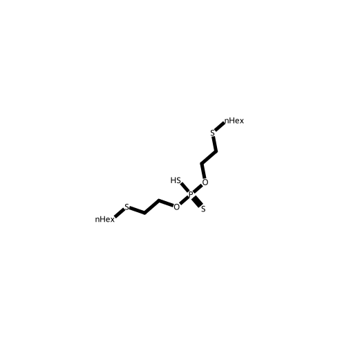 CCCCCCSCCOP(=S)(S)OCCSCCCCCC